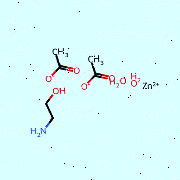 CC(=O)[O-].CC(=O)[O-].NCCO.O.O.[Zn+2]